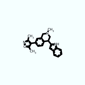 Cc1noc(C)c1-c1ccc2c(c1)CN(C)CC2c1cc2ccccc2[nH]1